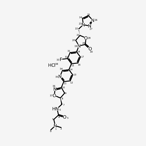 CN(C)CC(=O)NC[C@@H]1CC(c2ccc(-c3ccc(N4C[C@H](Cn5ccnn5)OC4=O)cc3F)cn2)=NO1.Cl